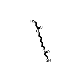 O=C(CCS)OCCCCCCCOC(=O)CCS